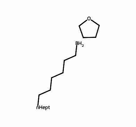 BCCCCCCCCCCCCC.C1CCOC1